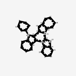 c1ccc(-n2c3ccccc3c3c2c2cc4ccccc4n2c2nc4ccccc4n32)cc1